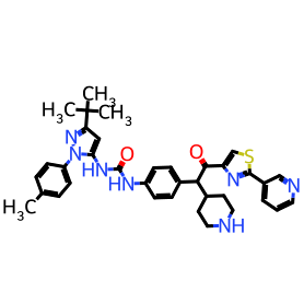 Cc1ccc(-n2nc(C(C)(C)C)cc2NC(=O)Nc2ccc(C(C(=O)c3csc(-c4cccnc4)n3)C3CCNCC3)cc2)cc1